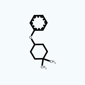 CC1(C)CCC(Oc2ccccc2)CC1